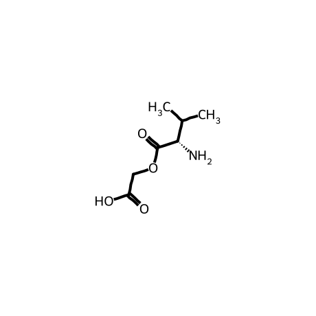 CC(C)[C@H](N)C(=O)OCC(=O)O